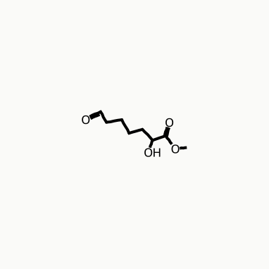 COC(=O)C(O)CCCCC=O